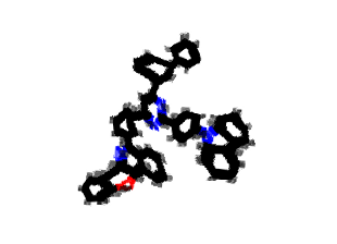 c1ccc(-c2cccc(-c3cc(-c4cccc(-c5nc6c7ccccc7oc6c6ccccc56)c4)nc(-c4ccc(-n5c6ccccc6c6ccccc65)cc4)n3)c2)cc1